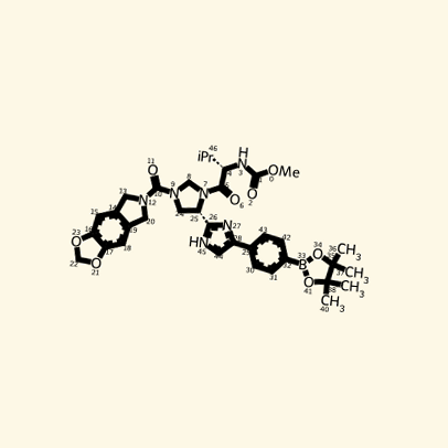 COC(=O)N[C@H](C(=O)N1CN(C(=O)N2Cc3cc4c(cc3C2)OCO4)C[C@H]1c1nc(-c2ccc(B3OC(C)(C)C(C)(C)O3)cc2)c[nH]1)C(C)C